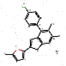 Cc1ccc(C2=Cc3c(cc(C)c(C)c3-c3ccc(Cl)cc3)[CH]2)o1.[Zr]